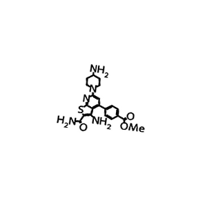 COC(=O)c1ccc(-c2cc(N3CCC(N)CC3)nc3sc(C(N)=O)c(N)c23)cc1